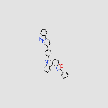 c1ccc(-c2nc3c(ccc4c(-c5ccc(-c6ccc7c8ccccc8nn7c6)cc5)nc5ccccc5c43)o2)cc1